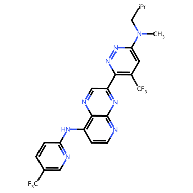 CC(C)CN(C)c1cc(C(F)(F)F)c(-c2cnc3c(Nc4ccc(C(F)(F)F)cn4)ccnc3n2)nn1